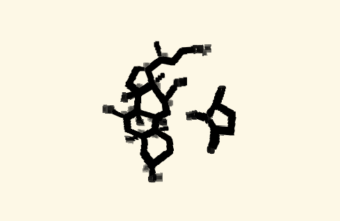 C[C@H](CCC(=O)O)[C@H]1CC[C@H]2[C@@H]3[C@H](O)C[C@@H]4C[C@H](O)CC[C@]4(C)[C@H]3C[C@H](O)[C@]12C.O=C1CCC(=O)N1O